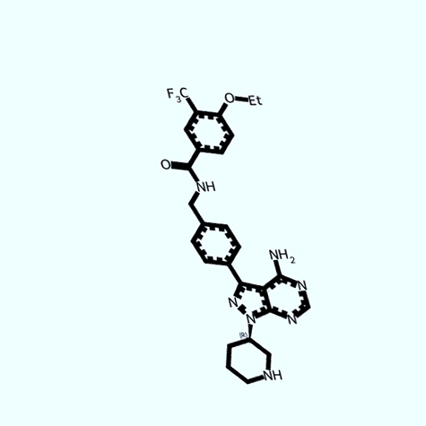 CCOc1ccc(C(=O)NCc2ccc(-c3nn([C@@H]4CCCNC4)c4ncnc(N)c34)cc2)cc1C(F)(F)F